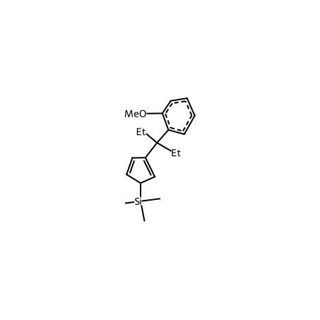 CCC(CC)(C1=CC([Si](C)(C)C)C=C1)c1ccccc1OC